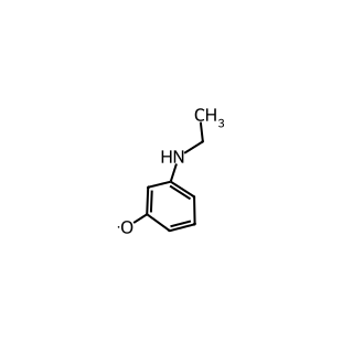 CCNc1cccc([O])c1